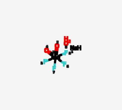 O.[NaH].[O]=[Mo](=[O])([F])([F])([F])[F]